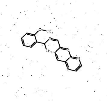 COc1ccccc1C(C)/N=C\c1ncc2nccnc2n1